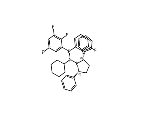 Fc1cc(F)c(F)c(P(c2cccc(F)c2F)N(C2CCCCC2)P2[C@H](c3ccccc3)CC[C@H]2c2ccccc2)c1